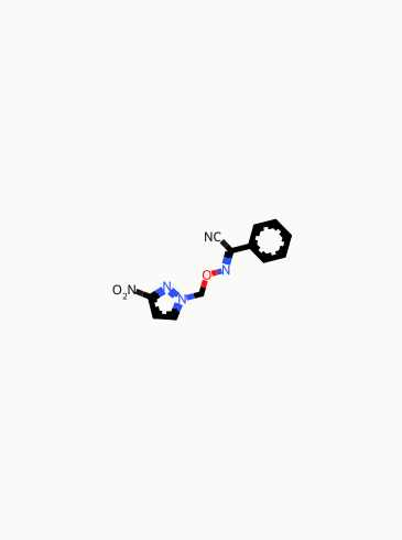 N#CC(=NOCn1ccc([N+](=O)[O-])n1)c1ccccc1